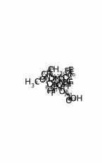 C=C(OCC)N1c2ccc(C(F)(F)F)cc2[C@@H](N(Cc2cc(C(F)(F)F)cc(C(F)(F)F)c2)c2ncc(OCCCC(=O)O)cn2)C[C@H]1CC